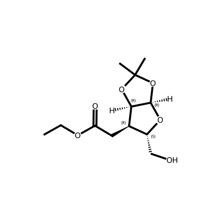 CCOC(=O)C[C@H]1[C@H]2OC(C)(C)O[C@H]2O[C@@H]1CO